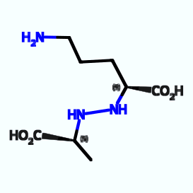 C[C@H](NN[C@@H](CCCN)C(=O)O)C(=O)O